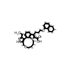 CCc1n[nH]c2c1-c1c(F)ccc3c(CCCOc4cccc5c4CCCC5)c(C(=O)O)n(c13)CCCCOC2